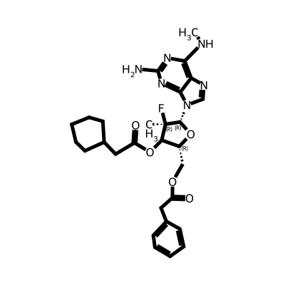 CNc1nc(N)nc2c1ncn2[C@@H]1O[C@H](COC(=O)Cc2ccccc2)C(OC(=O)CC2CCCCC2)[C@@]1(C)F